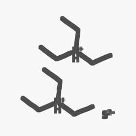 CC[NH+](CC)CC.CC[NH+](CC)CC.[S-2]